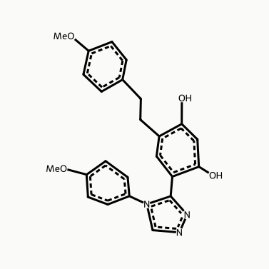 COc1ccc(CCc2cc(-c3nncn3-c3ccc(OC)cc3)c(O)cc2O)cc1